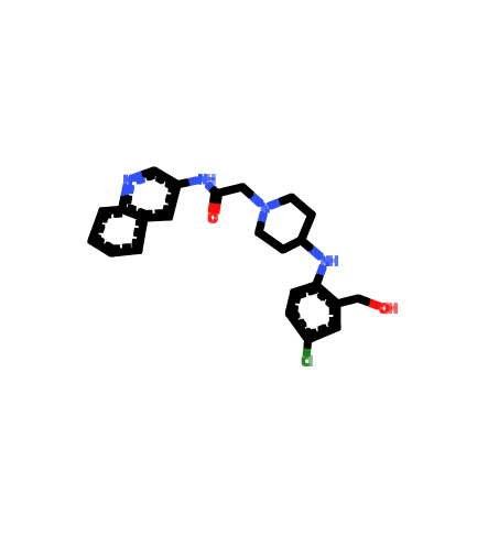 O=C(CN1CCC(Nc2ccc(Cl)cc2CO)CC1)Nc1cnc2ccccc2c1